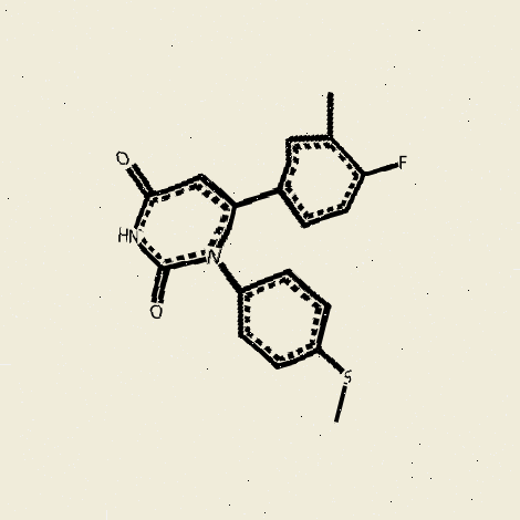 CSc1ccc(-n2c(-c3ccc(F)c(C)c3)cc(=O)[nH]c2=O)cc1